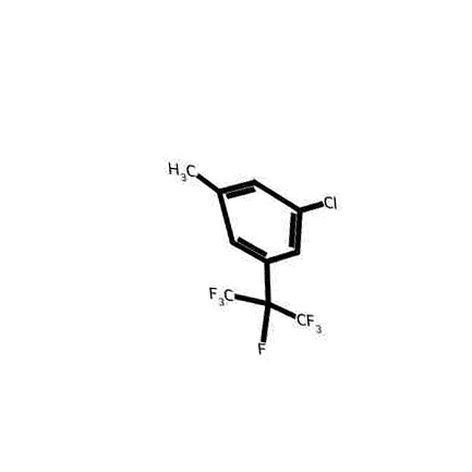 Cc1[c]c(Cl)cc(C(F)(C(F)(F)F)C(F)(F)F)c1